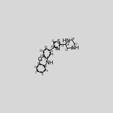 c1ccc2c(c1)Nc1cc(-c3csc(C4CNCCN4)n3)ccc1O2